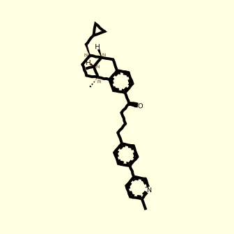 Cc1ccc(-c2ccc(CCCC(=O)c3ccc4c(c3)[C@@]3(C)CC[C@@H](CC5CC5)[C@H](C4)[C@@H]3C)cc2)cn1